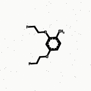 Cc1ccc(OCCF)cc1OCCF